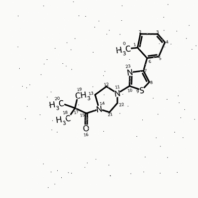 Cc1ccccc1-c1csc(N2CCN(C(=O)C(C)(C)C)CC2)n1